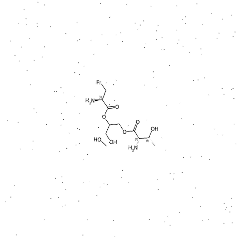 CC(C)C[C@H](N)C(=O)OC(CO)COC(=O)[C@@H](N)[C@@H](C)O.CO